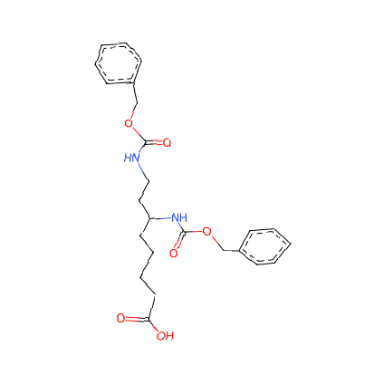 O=C(O)CCCCC(CCNC(=O)OCc1ccccc1)NC(=O)OCc1ccccc1